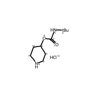 CC(C)(C)NC(=O)OC1CCNCC1.Cl